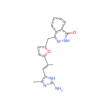 C/C(=C\c1[nH]c(N)nc1C)c1ccc(Cc2n[nH]c(=O)c3ccccc23)o1